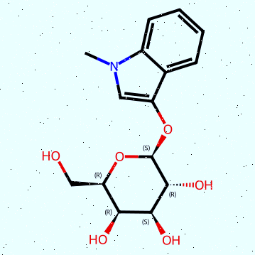 Cn1cc(O[C@@H]2O[C@H](CO)[C@H](O)[C@H](O)[C@H]2O)c2ccccc21